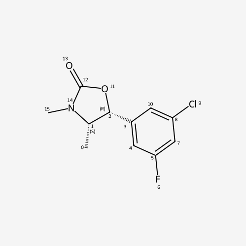 C[C@H]1[C@@H](c2cc(F)cc(Cl)c2)OC(=O)N1C